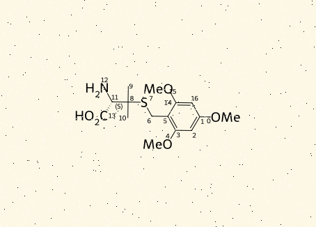 COc1cc(OC)c(CSC(C)(C)[C@@H](N)C(=O)O)c(OC)c1